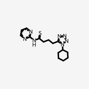 S=C(CCCc1nnnn1C1CCCCC1)Nc1ncccn1